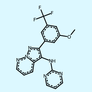 COc1cc(-c2nn3ncccc3c2Nc2ncccn2)cc(C(F)(F)F)c1